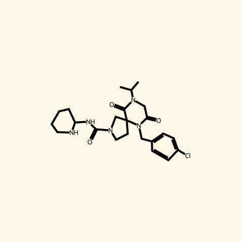 CC(C)N1CC(=O)N(Cc2ccc(Cl)cc2)C2(CCN(C(=O)NC3CCCCN3)C2)C1=O